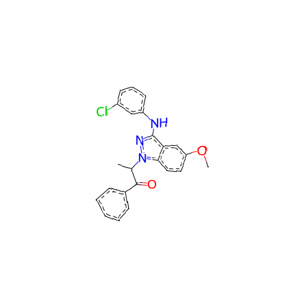 COc1ccc2c(c1)c(Nc1cccc(Cl)c1)nn2C(C)C(=O)c1ccccc1